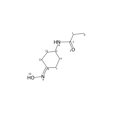 CCC(=O)NC1CCC(=NO)CC1